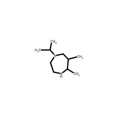 CC1CN(C(C)C)CCNC1C